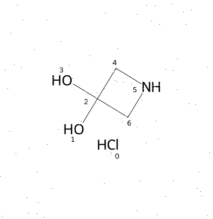 Cl.OC1(O)CNC1